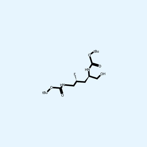 CC(C)(C)OC(=O)NC[C@H](F)C[C@H](CO)NC(=O)OC(C)(C)C